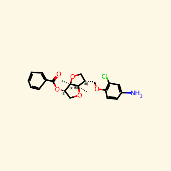 C[C@]12OC[C@H](OC(=O)c3ccccc3)[C@@]1(C)OC[C@@H]2COc1ccc(N)cc1Cl